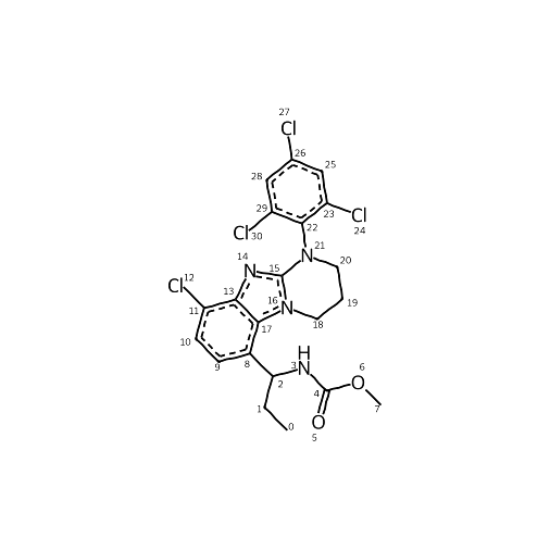 CCC(NC(=O)OC)c1ccc(Cl)c2nc3n(c12)CCCN3c1c(Cl)cc(Cl)cc1Cl